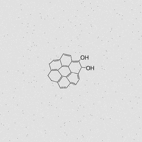 OC1=c2ccc3c4c5c6c(ccc7ccc(c(c24)c76)C1O)CCC=5CC=3